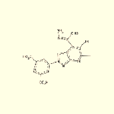 Cc1nc2nn(-c3cc(C(=O)O)cc(C(=O)O)c3)cc2c(C(C=O)=NN)c1O